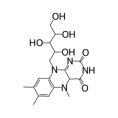 Cc1cc2c(cc1C)N(C)C1C(=O)NC(=O)N=C1N2CC(O)C(O)C(O)CO